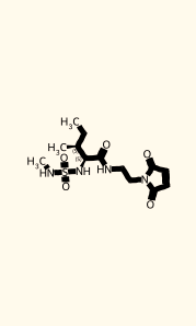 CC[C@H](C)[C@H](NS(=O)(=O)NC)C(=O)NCCN1C(=O)C=CC1=O